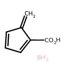 B.C=C1C=CC=C1C(=O)O